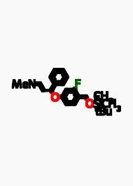 CNCC[C@H](Oc1ccc(CO[Si](C)(C)C(C)(C)C)c(F)c1)c1ccccc1